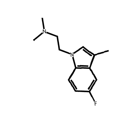 Cc1cn(CCN(C)C)c2ccc(F)cc12